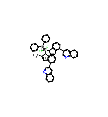 CC1=Cc2c(-c3cnc4ccccc4c3)cccc2[CH]1[Zr]([Cl])([Cl])([CH]1C(C)=Cc2c(-c3cnc4ccccc4c3)cccc21)[SiH](c1ccccc1)c1ccccc1